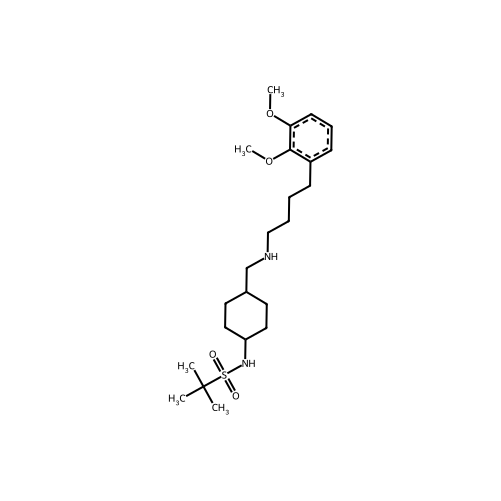 COc1cccc(CCCCNCC2CCC(NS(=O)(=O)C(C)(C)C)CC2)c1OC